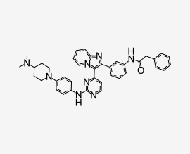 CN(C)C1CCN(c2ccc(Nc3nccc(-c4c(-c5cccc(NC(=O)Cc6ccccc6)c5)nc5ccccn45)n3)cc2)CC1